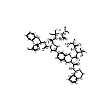 CN[C@@H](C)C(=O)NC(C(=O)N1Cc2cc([C@H]3C[C@@H](C(=O)NC(Cc4ccccc4)c4ncc(C)o4)N(C(=O)[C@@H](NC(=O)[C@H](C)NC)C(C)(C)C)C3)ccc2CC1C(=O)NC1CCCc2ccccc21)C(C)(C)C